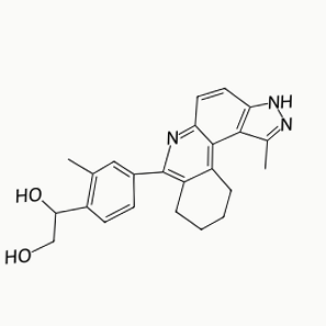 Cc1cc(-c2nc3ccc4[nH]nc(C)c4c3c3c2CCCC3)ccc1C(O)CO